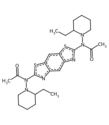 CCC1CCCCN1N(C(C)=O)c1nc2cc3nc(N(C(C)=O)N4CCCCC4CC)sc3cc2s1